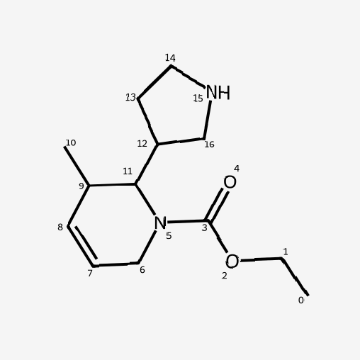 CCOC(=O)N1CC=CC(C)C1C1CCNC1